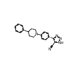 N#Cc1[nH]nnc1-c1ccc(N2CCC(c3ccccc3)CC2)cc1